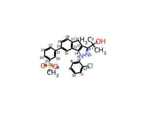 CC(C)(O)c1nn(-c2ccccc2Cl)c2c1Cc1ccc(-c3cccc(S(C)(=O)=O)c3)cc1-2